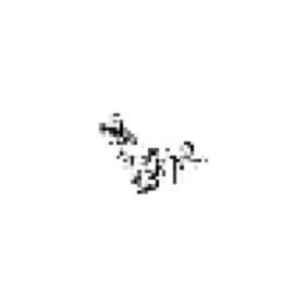 C=CC(=O)NCc1nc2c(c(-c3ccc(OC(F)(F)F)cc3)n1)CCCO2